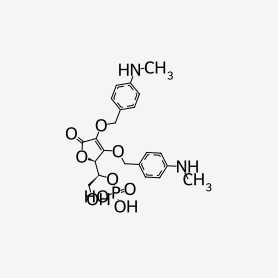 CNc1ccc(COC2=C(OCc3ccc(NC)cc3)[C@@H]([C@H](CO)OP(=O)(O)O)OC2=O)cc1